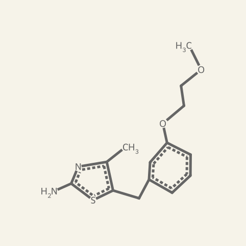 COCCOc1cccc(Cc2sc(N)nc2C)c1